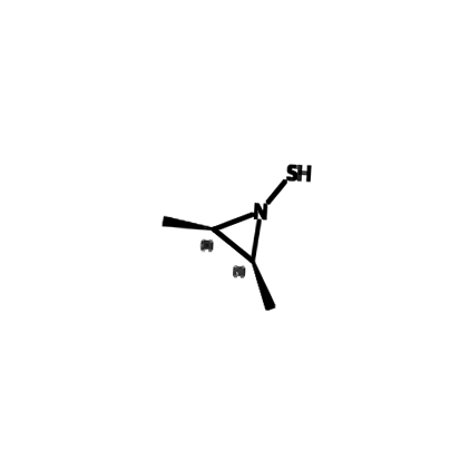 C[C@@H]1[C@H](C)N1S